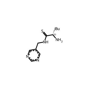 CCC(C)[C@H](N)C(=S)NCc1cncnc1